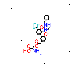 CCN(Cc1cc(C(F)(F)F)ccc1-c1cc(CC(=O)OCC(N)C(=O)O)ccc1OC)C(=O)NCc1ccccc1